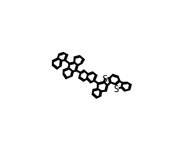 c1ccc2c(-c3c4ccccc4c(-c4ccc5cc(-c6c7ccccc7cc7c6sc6ccc8c9ccccc9sc8c67)ccc5c4)c4ccccc34)cccc2c1